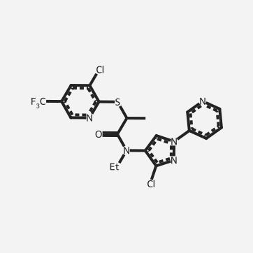 CCN(C(=O)C(C)Sc1ncc(C(F)(F)F)cc1Cl)c1cn(-c2cccnc2)nc1Cl